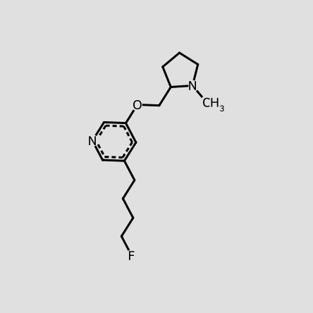 CN1CCCC1COc1cncc(CCCCF)c1